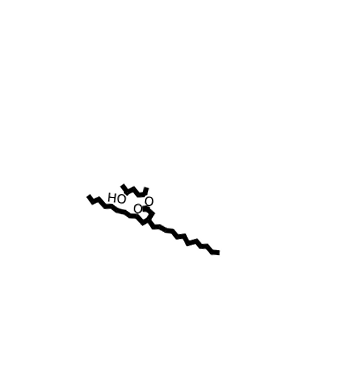 CCCCCCCCCCCCC(CCCCCCCCCC)CC(=O)OC(C)CCC(C)O